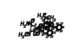 CSCC(=O)[C@H](CCC(N)=O)NC(=O)[C@H](Cc1ccccc1)NC(=O)[C@H](CC(C)C)NC(=O)OCc1ccccc1